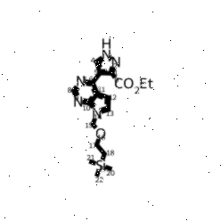 CCOC(=O)c1n[nH]cc1-c1ncnc2c1ccn2COCC[Si](C)(C)C